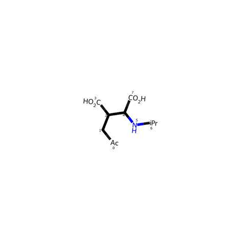 CC(=O)CC(C(=O)O)C(NC(C)C)C(=O)O